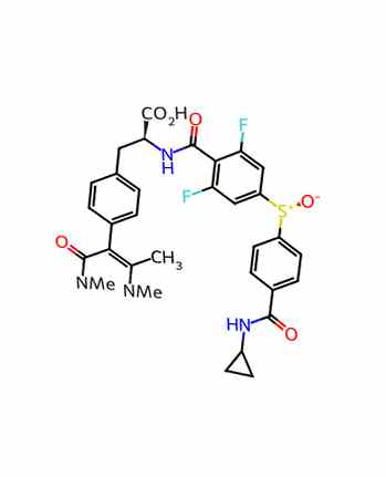 CNC(=O)/C(=C(/C)NC)c1ccc(C[C@H](NC(=O)c2c(F)cc([S@@+]([O-])c3ccc(C(=O)NC4CC4)cc3)cc2F)C(=O)O)cc1